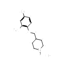 N#Cc1cc(Br)ccc1OCC1CCN(C(=O)O)CC1